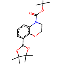 CC(C)(C)OC(=O)N1CCOc2c(B3OC(C)(C)C(C)(C)O3)cccc21